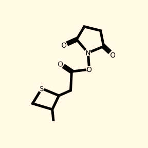 CC1CSC1CC(=O)ON1C(=O)CCC1=O